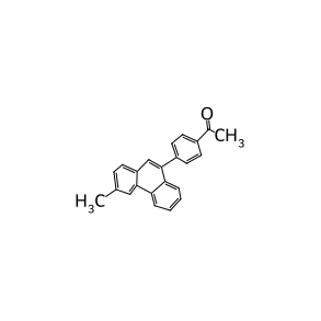 CC(=O)c1ccc(-c2cc3ccc(C)cc3c3ccccc23)cc1